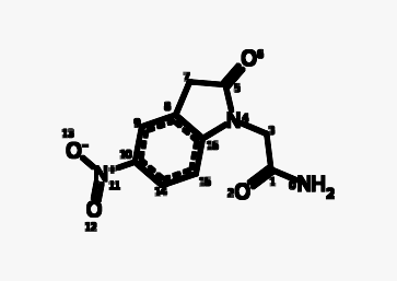 NC(=O)CN1C(=O)Cc2cc([N+](=O)[O-])ccc21